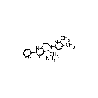 Cc1ccc(N2CCc3nc(-c4ccccn4)ncc3C2C)nc1C.N